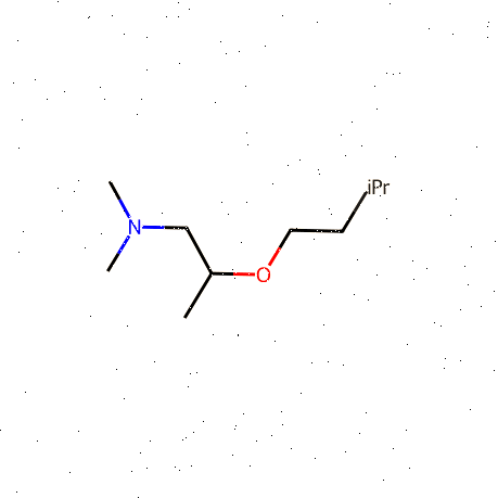 CC(C)CCOC(C)CN(C)C